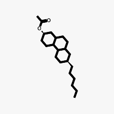 CCCCCC[C@H]1CCC2C(CCC3C[C@@H](OC(C)=O)CCC32)C1